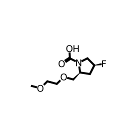 COCCOC[C@@H]1C[C@H](F)CN1C(=O)O